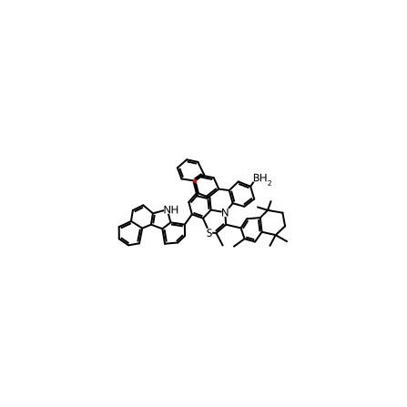 Bc1ccc(N2C(c3cc4c(cc3C)C(C)(C)CCC4(C)C)=C(C)Sc3c(-c4cccc5c4[nH]c4ccc6ccccc6c45)cc(-c4ccccc4)cc32)c(-c2ccccc2)c1